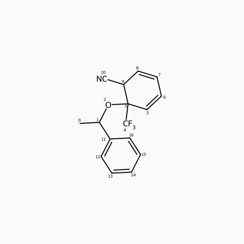 CC(OC1(C(F)(F)F)C=CC=CC1C#N)c1ccccc1